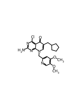 COc1cnc(Cn2cc(CC3CCCC3)c(=O)c3c(Cl)nc(N)nc32)cc1OC